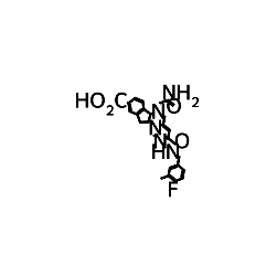 Cc1cc(CNC(=O)c2cc(CN(CC(N)=O)C3CCc4cc(C(=O)O)ccc43)ncn2)ccc1F